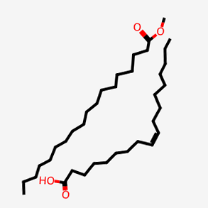 CCCCCCCC/C=C\CCCCCCCC(=O)O.CCCCCCCCCCCCCCCCCC(=O)OC